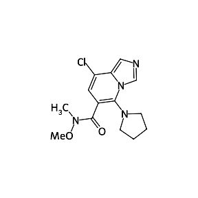 CON(C)C(=O)c1cc(Cl)c2cncn2c1N1CCCC1